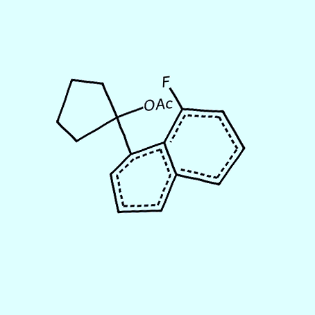 CC(=O)OC1(c2cccc3cccc(F)c23)CCCC1